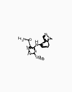 CSc1nnc(C(N)=O)c(Nc2cccc3c2cnn3C)n1